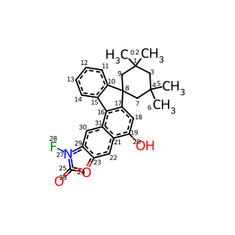 CC1(C)CC(C)(C)CC2(C1)c1ccccc1-c1c2cc(O)c2cc3oc(=O)n(F)c3cc12